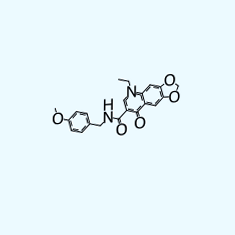 CCn1cc(C(=O)NCc2ccc(OC)cc2)c(=O)c2cc3c(cc21)OCO3